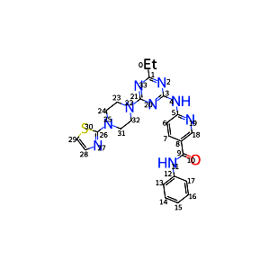 CCc1nc(Nc2ccc(C(=O)Nc3ccccc3)cn2)nc(N2CCN(c3nccs3)CC2)n1